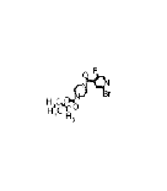 CC(C)(C)OC(=O)N1CCN(C(=O)c2cc(Br)ncc2F)CC1